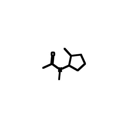 CC(=O)N(C)C1CCCC1C